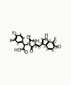 O=C(O)C(c1ccc(F)c(F)c1)N1C(=O)N/C(=C\c2c[nH]c3c(F)c(Cl)ccc23)C1=O